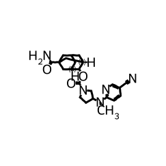 CN(c1ccc(C#N)cn1)C1CCN(C(=O)OC2[C@@H]3CC4C[C@H]2CC(C(N)=O)(C4)C3)C1